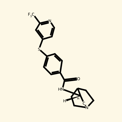 O=C(N[C@H]1CN2CCC1CC2)c1ccc(Sc2ccnc(C(F)(F)F)c2)cc1